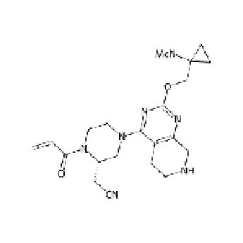 C=CC(=O)N1CCN(c2nc(OCC3(NC)CC3)nc3c2CCNC3)C[C@@H]1CC#N